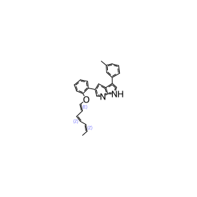 C\C=C/C=C\C=C\Oc1ccccc1-c1cnc2[nH]cc(-c3cccc(C)c3)c2c1